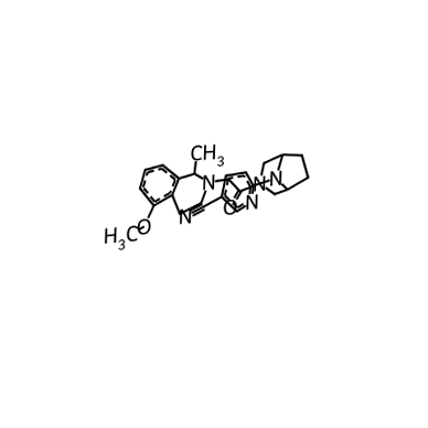 COc1cccc2c1CCN(CC(=O)N1CC3CCC(C1)N3c1ccc(C#N)cn1)C2C